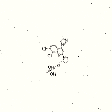 O=P(O)(O)CCOCC1CCCN1c1cc(-n2ccnc2)c2ccc(Cl)c(Cl)c2n1